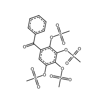 CS(=O)(=O)Oc1cc(C(=O)c2ccccc2)c(OS(C)(=O)=O)c(OS(C)(=O)=O)c1OS(C)(=O)=O